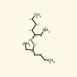 CCCCC(CN)SSC(CN)CCCC